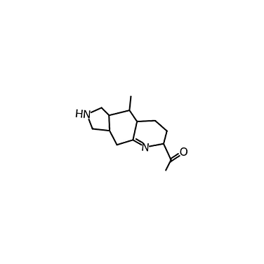 CC(=O)C1CCC2C(=N1)CC1CNCC1C2C